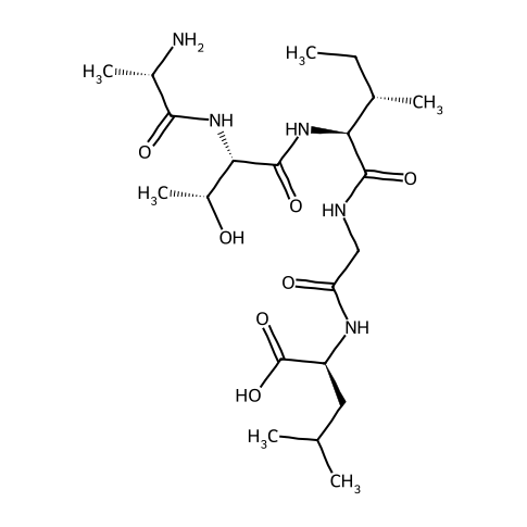 CC[C@H](C)[C@H](NC(=O)[C@@H](NC(=O)[C@H](C)N)[C@@H](C)O)C(=O)NCC(=O)N[C@@H](CC(C)C)C(=O)O